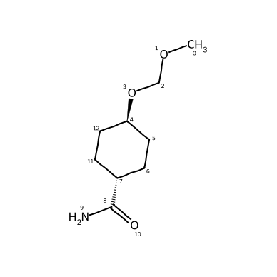 COCO[C@H]1CC[C@H](C(N)=O)CC1